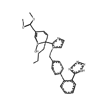 CCCCC1(c2nccn2Cc2ccc(-c3ccccc3-c3nnn[nH]3)cc2)C=CC(C(OC)OC)=CN1O